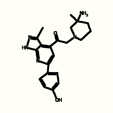 Cc1n[nH]c2nc(-c3ccc(O)cc3)cc(C(=O)CN3CCCC(C)(N)C3)c12